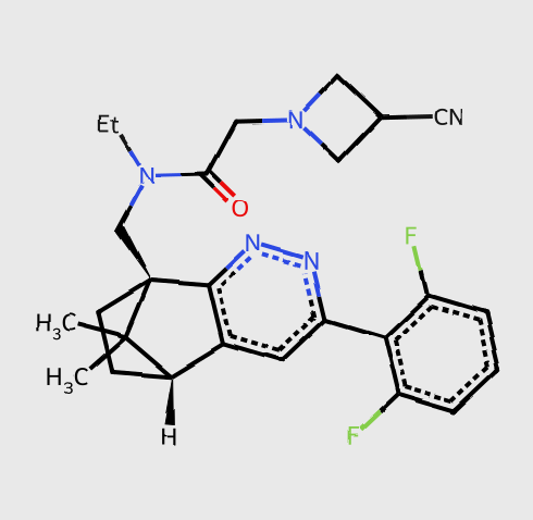 CCN(C[C@@]12CC[C@@H](c3cc(-c4c(F)cccc4F)nnc31)C2(C)C)C(=O)CN1CC(C#N)C1